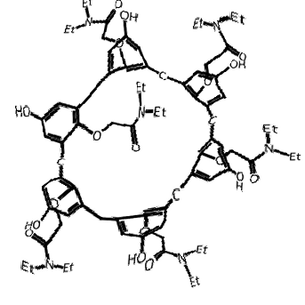 CCN(CC)C(=O)COc1c2cc(O)cc1Cc1cc(O)cc(c1OCC(=O)N(CC)CC)Cc1cc(O)cc(c1OCC(=O)N(CC)CC)Cc1cc(O)cc(c1OCC(=O)N(CC)CC)Cc1cc(O)cc(c1OCC(=O)N(CC)CC)Cc1cc(O)cc(c1OCC(=O)N(CC)CC)C2